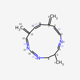 C=C1/C=C\N=C/C(C)C/N=C\N=C/C(=C)/C=C\1